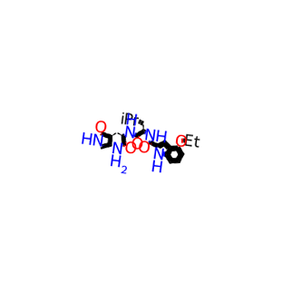 CCOc1cccc2[nH]c(C(=O)N[C@@H](CC(C)C)C(=O)N[C@@H](C[C@@H]3CCNC3=O)C(N)=O)cc12